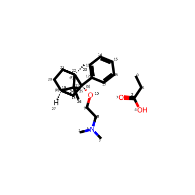 CCC(=O)O.CN(C)CCO[C@]1(c2ccccc2)C[C@H]2CC[C@]1(C)C2(C)C